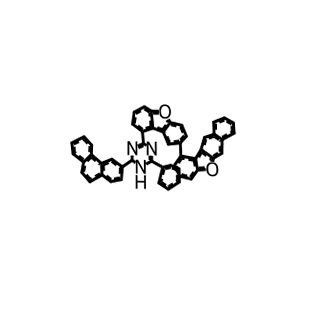 c1ccc(C2=NC(c3cccc4oc5ccc(-c6cccc7oc8cc9ccccc9cc8c67)cc5c34)=NC(c3ccc4ccc5ccccc5c4c3)N2)cc1